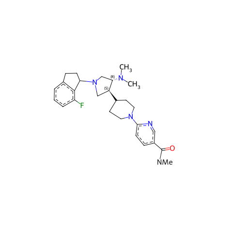 CNC(=O)c1ccc(N2CCC([C@H]3CN(C4CCc5cccc(F)c54)C[C@@H]3N(C)C)CC2)nc1